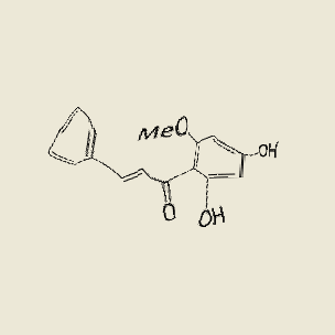 COc1cc(O)cc(O)c1C(=O)C=Cc1ccccc1